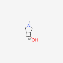 CN1CC2C[C@H](O)C2C1